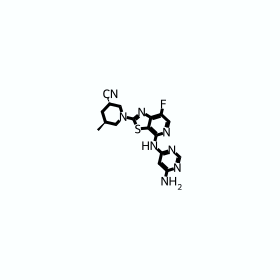 C[C@H]1C[C@H](C#N)CN(c2nc3c(F)cnc(Nc4cc(N)ncn4)c3s2)C1